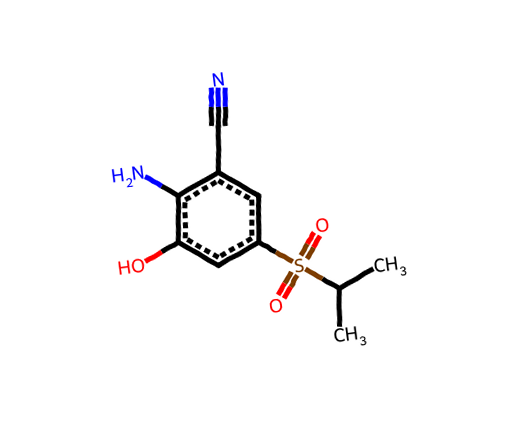 CC(C)S(=O)(=O)c1cc(O)c(N)c(C#N)c1